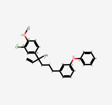 C=CC(CCC)(CCCc1cccc(Oc2ccccc2)c1)c1ccc(OCC)c(Cl)c1